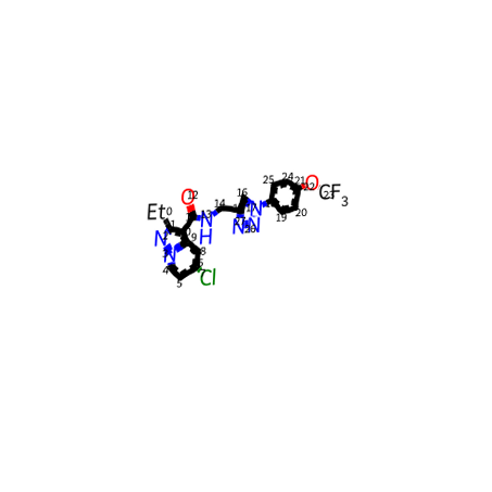 CCc1nn2ccc(Cl)cc2c1C(=O)NCc1cn(-c2ccc(OC(F)(F)F)cc2)nn1